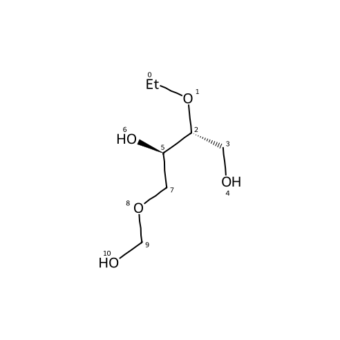 CCO[C@H](CO)[C@H](O)COCO